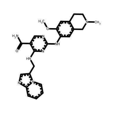 COc1cc2c(cc1Nc1ncc(C(N)=O)c(NCc3cnc4ccccn34)n1)CN(C)CC2